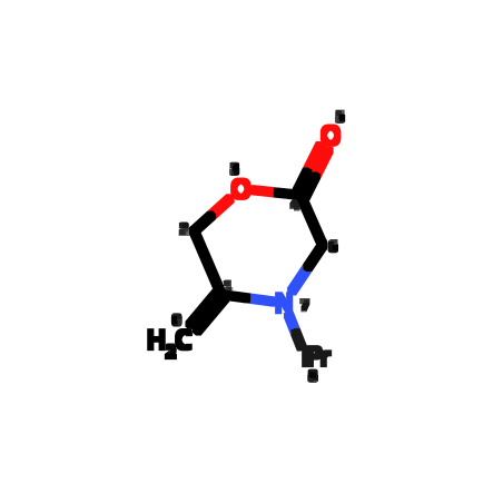 C=C1COC(=O)CN1C(C)C